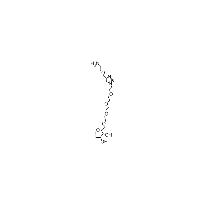 NCCOCc1cn(CCOCCOCCOCCOCC2OCCC(O)C2O)nn1